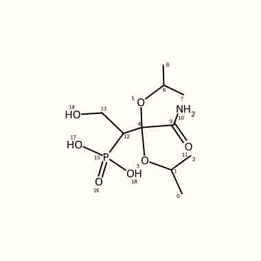 CC(C)OC(OC(C)C)(C(N)=O)C(CO)P(=O)(O)O